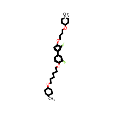 [CH2-][C+]1CCC(OCCCCOc2ccc(-c3ccc(OCCCCCCOC4CCC(C)CC4)c(F)c3)cc2F)CC1